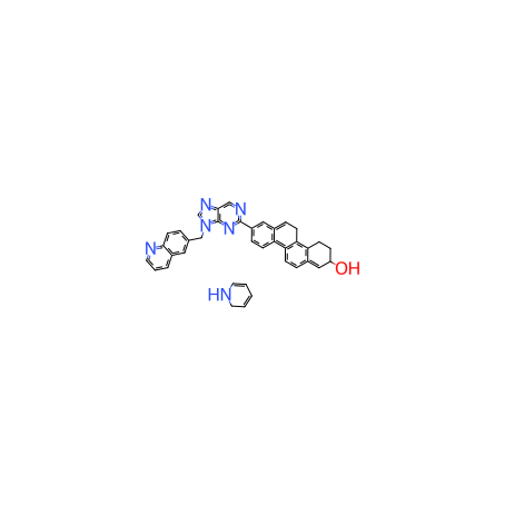 C1=CCNC=C1.OC1C=c2ccc3c(c2CC1)CC=c1cc(-c2ncc4ncn(Cc5ccc6ncccc6c5)c4n2)ccc1=3